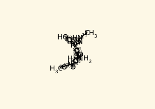 CCCCNc1ncc2c(-c3ccc(S(=O)(=O)N(C)c4ccc(C(=O)NCCOCC)cc4)cc3)nn(C3CCC(O)CC3)c2n1